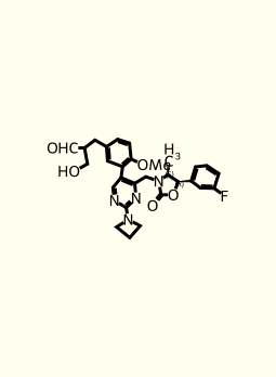 COc1ccc(CC(C=O)CO)cc1-c1cnc(N2CCC2)nc1CN1C(=O)O[C@H](c2cccc(F)c2)[C@@H]1C